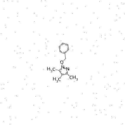 Cc1nn(OCc2ccccc2)c(C)c1C